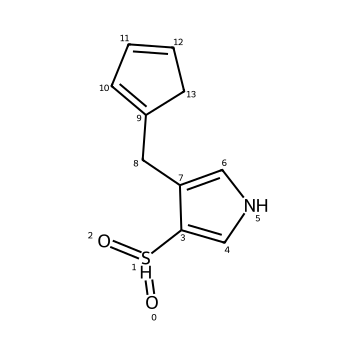 O=[SH](=O)c1c[nH]cc1CC1=CC=CC1